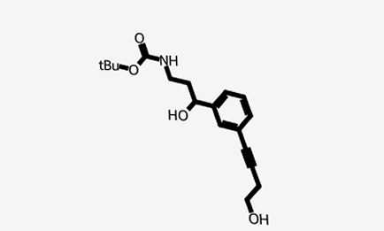 CC(C)(C)OC(=O)NCCC(O)c1cccc(C#CCCO)c1